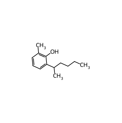 CCCCC(C)c1cccc(C)c1O